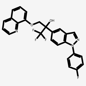 OC(COc1cccc2cccnc12)(c1ccc2c(cnn2-c2ccc(F)cc2)c1)C(F)(F)F